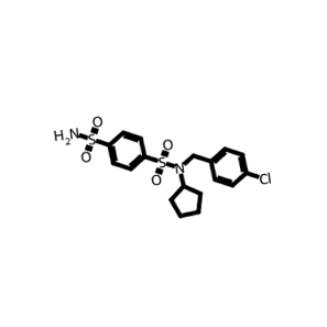 NS(=O)(=O)c1ccc(S(=O)(=O)N(Cc2ccc(Cl)cc2)C2CCCC2)cc1